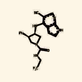 CC(C)[C@@H]1CN(C(=O)NCC(F)(F)F)C[C@@H]1Nc1c(C#N)cnc2[nH]ccc12